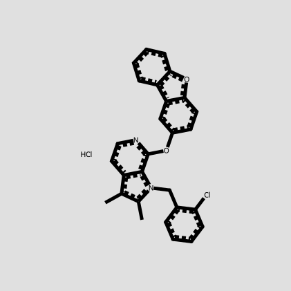 Cc1c(C)n(Cc2ccccc2Cl)c2c(Oc3ccc4oc5ccccc5c4c3)nccc12.Cl